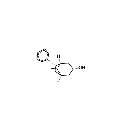 CN1[C@H]2C[C@@H](O)C[C@@H]1[C@@H](c1ccccc1)C2